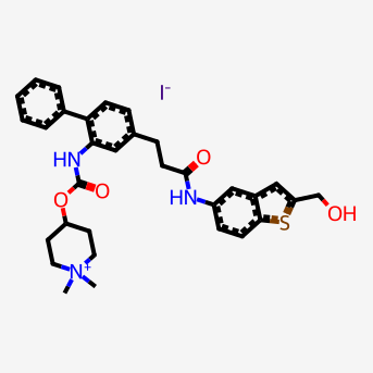 C[N+]1(C)CCC(OC(=O)Nc2cc(CCC(=O)Nc3ccc4sc(CO)cc4c3)ccc2-c2ccccc2)CC1.[I-]